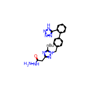 CCCCc1nc(CC(=O)NN)nn1Cc1ccc(-c2ccccc2-c2nnn[nH]2)cc1